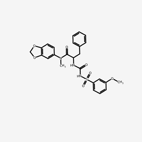 COc1cccc(S(=O)(=O)NC(=O)NC(Cc2ccccc2)C(=O)N(C)c2ccc3c(c2)OCO3)c1